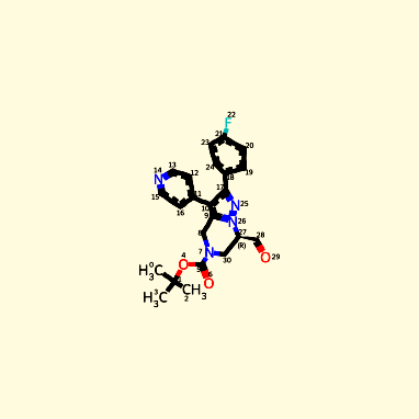 CC(C)(C)OC(=O)N1Cc2c(-c3ccncc3)c(-c3ccc(F)cc3)nn2[C@@H](C=O)C1